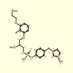 CCCCCCCCCCCCOc1cccc(OCC(COP(=O)(O)Oc2ccc(Cn3cc[n+](CCC)c3)cc2)OC)c1C